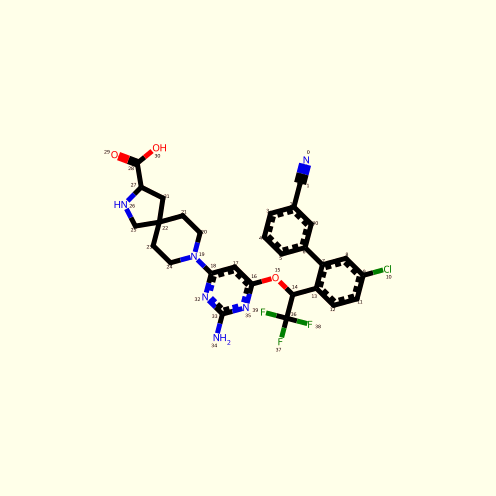 N#Cc1cccc(-c2cc(Cl)ccc2C(Oc2cc(N3CCC4(CC3)CNC(C(=O)O)C4)nc(N)n2)C(F)(F)F)c1